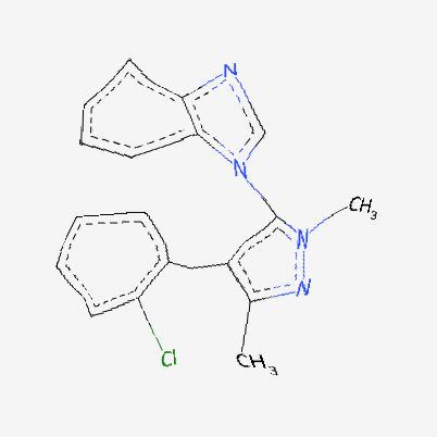 Cc1nn(C)c(-n2cnc3ccccc32)c1-c1ccccc1Cl